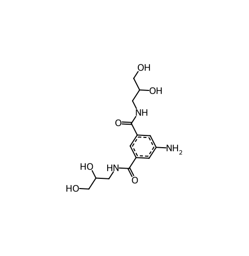 Nc1cc(C(=O)NCC(O)CO)cc(C(=O)NCC(O)CO)c1